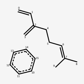 C=CC(=C)CCC=C(C)C.c1ccccc1